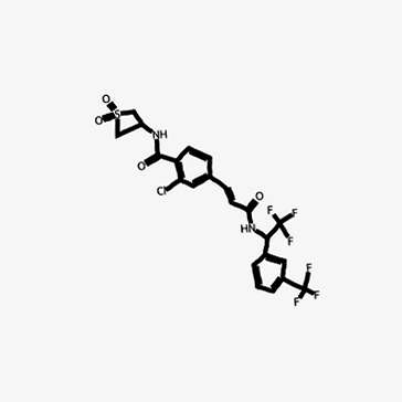 O=C(C=Cc1ccc(C(=O)NC2CS(=O)(=O)C2)c(Cl)c1)NC(c1cccc(C(F)(F)F)c1)C(F)(F)F